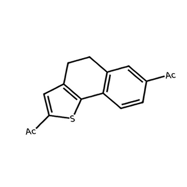 CC(=O)c1ccc2c(c1)CCc1cc(C(C)=O)sc1-2